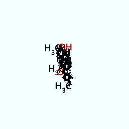 CCc1ccc(C(=O)[C@H]2CC[C@H]3[C@@H]4CC[C@H]5C[C@](C)(O)CC[C@@H]5[C@H]4CC[C@]23C)cc1